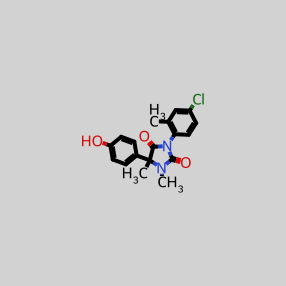 Cc1cc(Cl)ccc1N1C(=O)N(C)C(C)(c2ccc(O)cc2)C1=O